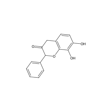 O=C1Cc2ccc(O)c(O)c2OC1c1ccccc1